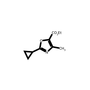 CCOC(=O)c1oc(C2CC2)nc1C